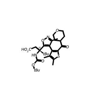 Cc1noc([C@@](CC(=O)O)(NC(=O)OC(C)(C)C)C(C)(C)C)c1-c1c(C(=O)C2CCOCC2)sc(C)c1C